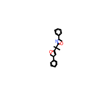 CC(C)(C1=CC(c2ccccc2)CO1)C1=NC(c2ccccc2)CO1